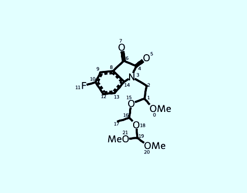 COC(CN1C(=O)C(=O)c2cc(F)ccc21)OC(C)OC(OC)OC